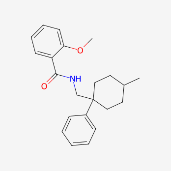 COc1ccccc1C(=O)NCC1(c2ccccc2)CCC(C)CC1